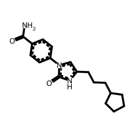 NC(=O)c1ccc(-n2cc(CCCC3CCCC3)[nH]c2=O)cc1